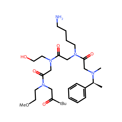 COCCN(CC(=O)C(C)(C)C)C(=O)CN(CCO)C(=O)CN(CCCCN)C(=O)CN(C)[C@@H](C)c1ccccc1